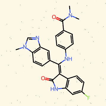 CN(C)C(=O)c1ccc(NC(=C2C(=O)Nc3cc(F)ccc32)c2ccc3c(c2)ncn3C)cc1